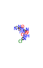 CN1CCc2nc(C(=O)NC[C@H](NC(=O)C(=O)Nc3ccc(Cl)cn3)C(=O)N(C)C)sc2C1